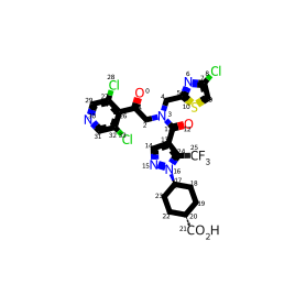 O=C(CN(Cc1nc(Cl)cs1)C(=O)c1cnn([C@H]2CC[C@H](C(=O)O)CC2)c1C(F)(F)F)c1c(Cl)cncc1Cl